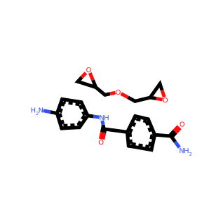 C(OCC1CO1)C1CO1.NC(=O)c1ccc(C(=O)Nc2ccc(N)cc2)cc1